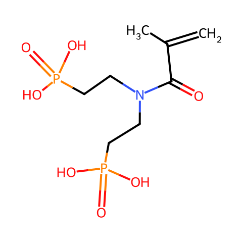 C=C(C)C(=O)N(CCP(=O)(O)O)CCP(=O)(O)O